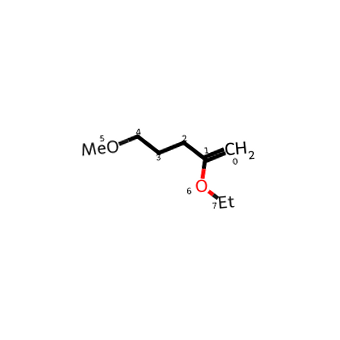 C=C(CCCOC)OCC